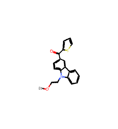 CCOCCn1c2ccccc2c2cc(C(=O)c3cccs3)ccc21